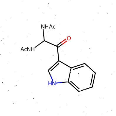 CC(=O)NC(NC(C)=O)C(=O)c1c[nH]c2c[c]ccc12